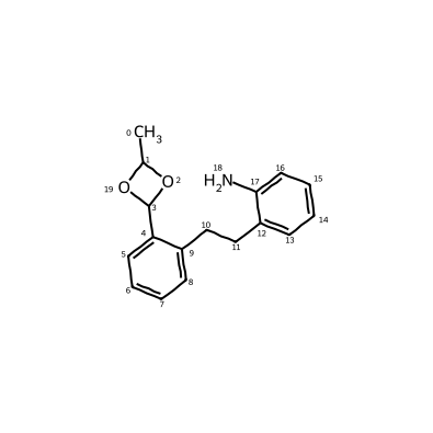 CC1OC(c2ccccc2CCc2ccccc2N)O1